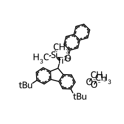 C[O-].C[O-].C[Si](C)=[Ti+2]([O]c1ccc2ccccc2c1)[CH]1c2ccc(C(C)(C)C)cc2-c2cc(C(C)(C)C)ccc21